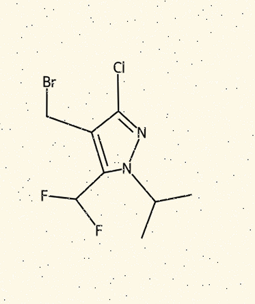 CC(C)n1nc(Cl)c(CBr)c1C(F)F